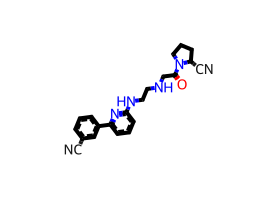 N#Cc1cccc(-c2cccc(NCCNCC(=O)N3CCCC3C#N)n2)c1